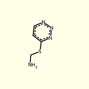 NCSc1ccnnn1